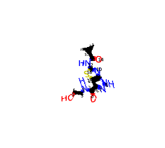 O=C(NCCO)c1n[nH]c2nc(NC(=O)C3CC3)sc12